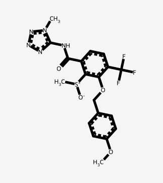 COc1ccc(COc2c(C(F)(F)F)ccc(C(=O)Nc3nnnn3C)c2[S+](C)[O-])cc1